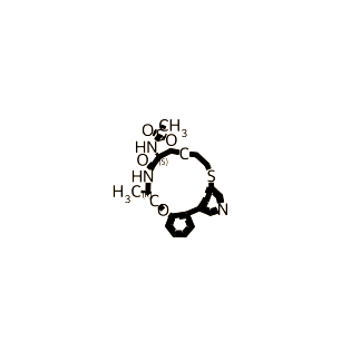 C[C@@H]1COc2ccccc2-c2cncc(c2)SCCCC[C@H](NS(C)(=O)=O)C(=O)N1